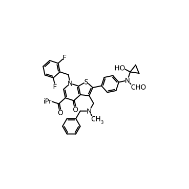 CC(C)C(=O)c1cn(Cc2c(F)cccc2F)c2sc(-c3ccc(N(C=O)C4(O)CC4)cc3)c(CN(C)Cc3ccccc3)c2c1=O